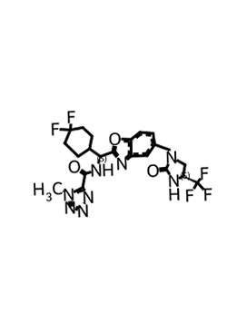 Cn1nnnc1C(=O)N[C@H](c1nc2cc(CN3C[C@@H](C(F)(F)F)NC3=O)ccc2o1)C1CCC(F)(F)CC1